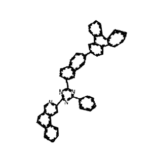 c1ccc(-c2nc(-c3ccc4ccc(-c5ccc6c7ccccc7c7ccccc7c6c5)cc4c3)nc(-c3cc4c(ccc5ccccc54)cn3)n2)cc1